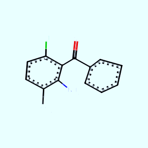 Nc1c(C(=O)O)ccc(Cl)c1C(=O)c1ccccc1